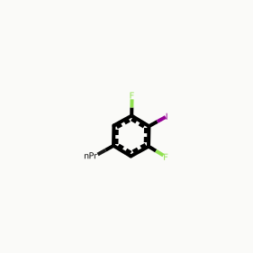 CCCc1cc(F)c(I)c(F)c1